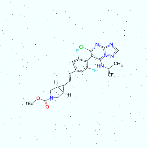 C[C@H](Nc1c(-c2c(F)cc(/C=C/C3[C@H]4CN(C(=O)OC(C)(C)C)C[C@@H]34)cc2F)c(Cl)nc2ncnn12)C(F)(F)F